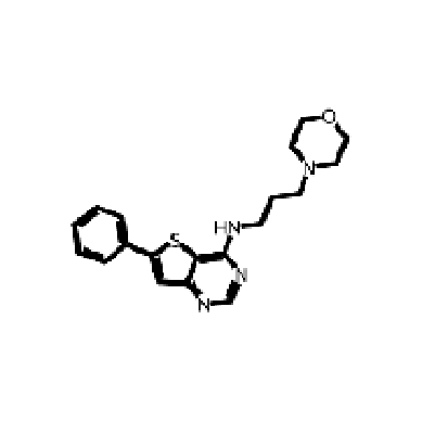 c1ccc(-c2cc3ncnc(NCCCN4CCOCC4)c3s2)cc1